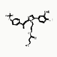 CC(=C=C1SC=C(c2ccc(O)c(O)c2)N1CCCNC(=O)CCO)c1ccc(OC(F)(F)F)cc1